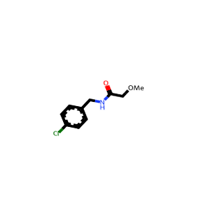 COCC(=O)NCc1ccc(Cl)cc1